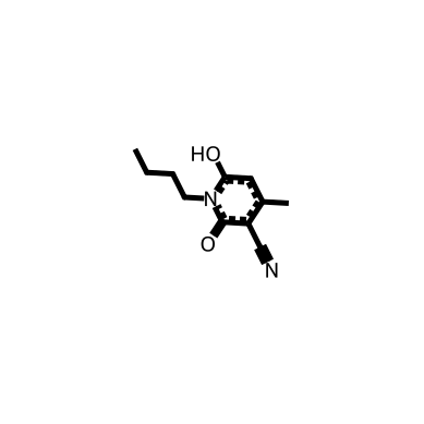 CCCCn1c(O)cc(C)c(C#N)c1=O